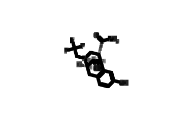 NC(=O)[C@@H]1C[C@]23CCN(CC(F)(F)F)[C@H](Cc4ccc(O)cc42)[C@]3(O)C1